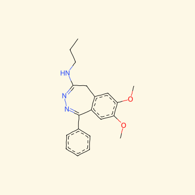 CCCNC1=NN=C(c2ccccc2)c2cc(OC)c(OC)cc2C1